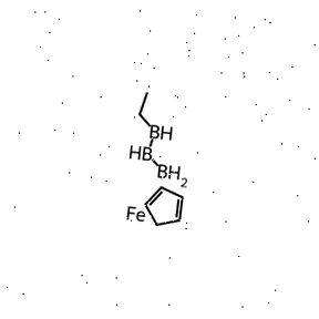 BBBCC.C1=CCC=C1.[Fe]